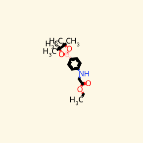 CCOC(=O)CNc1ccc(B2OC(C)(C)C(C)(C)O2)cc1